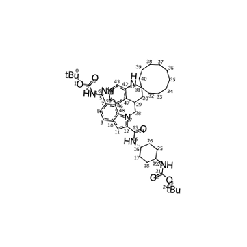 CC(C)(C)OC(=O)NC(=N)c1ccc2cc(C(=O)N[C@H]3CC[C@H](NC(=O)OC(C)(C)C)CC3)n(CC3CC4(CCCCCCCCC4)Nc4ccccc43)c2c1